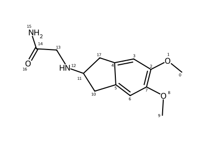 COc1cc2c(cc1OC)CC(NCC(N)=O)C2